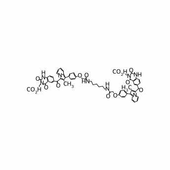 Cc1c(-c2ccc(OCC(=O)NCCCCCCNC(=O)COc3ccc(-c4c(C)c(C(=O)c5ccc6[nH]c(=O)n(CC(=O)O)c(=O)c6c5)n5ccccc45)cc3)cc2)c2ccccn2c1C(=O)c1ccc2[nH]c(=O)n(CC(=O)O)c(=O)c2c1